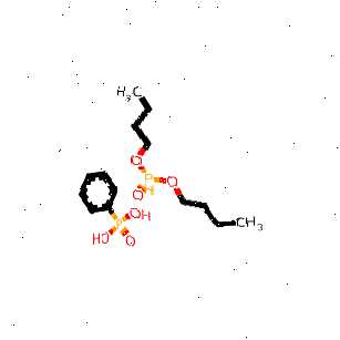 CCCCO[PH](=O)OCCCC.O=P(O)(O)c1ccccc1